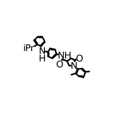 Cc1ccc(C)c(N2CC(C(=O)Nc3ccc(Nc4ccccc4C(C)C)cc3)CC2=O)c1